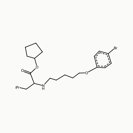 CC(C)CC(NCCCCCOc1ccc(Br)cc1)C(=O)OC1CCCC1